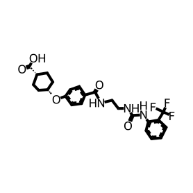 O=C(NCCNC(=O)c1ccc(O[C@H]2CC[C@@H](C(=O)O)CC2)cc1)Nc1ccccc1C(F)(F)F